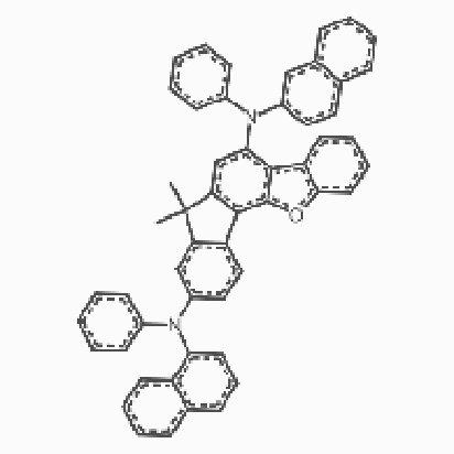 CC1(C)c2cc(N(c3ccccc3)c3cccc4ccccc34)ccc2-c2c1cc(N(c1ccccc1)c1ccc3ccccc3c1)c1c2oc2ccccc21